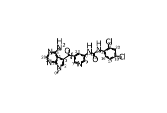 Cn1cc(C(=O)c2cncc(NC(=O)Nc3ccc(Cl)cc3Cl)c2)c2c(N)ncnc21